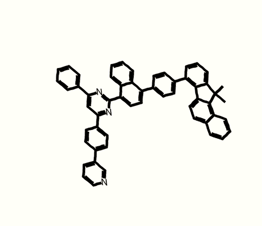 CC1(C)c2cccc(-c3ccc(-c4ccc(-c5nc(-c6ccccc6)cc(-c6ccc(-c7cccnc7)cc6)n5)c5ccccc45)cc3)c2-c2ccc3ccccc3c21